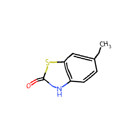 Cc1ccc2[nH]c(=O)sc2c1